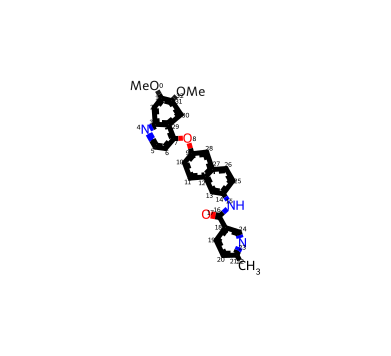 COc1cc2nccc(Oc3ccc4cc(NC(=O)c5ccc(C)nc5)ccc4c3)c2cc1OC